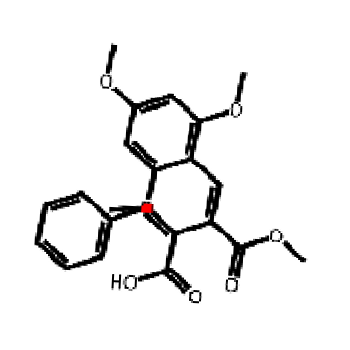 COC(=O)C(=C/c1c(OC)cc(OC)cc1OC)/C(=C/c1ccccc1)C(=O)O